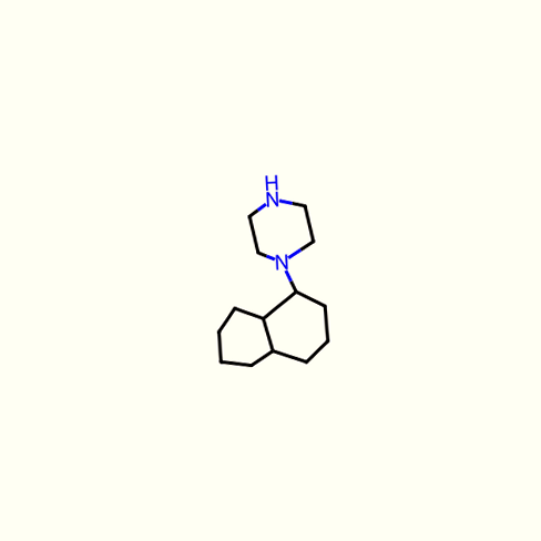 C1CCC2C(C1)CCCC2N1CCNCC1